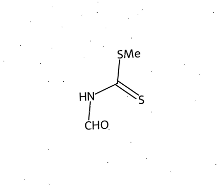 CSC(=S)NC=O